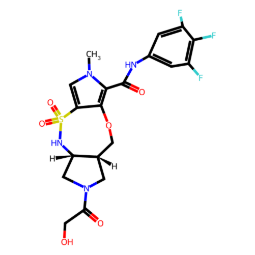 Cn1cc2c(c1C(=O)Nc1cc(F)c(F)c(F)c1)OC[C@@H]1CN(C(=O)CO)C[C@@H]1NS2(=O)=O